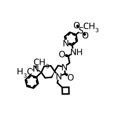 CN(C)[C@]1(c2ccccc2)CC[C@@]2(CC1)CN(CC(=O)Nc1cc(S(C)(=O)=O)ccn1)C(=O)N2CC1CCC1